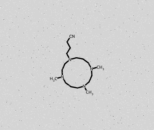 CN1CCCN(C)CCN(CCCC#N)CCCN(C)CC1